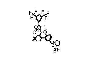 COc1ccc(CN2CCC[C@@H]2C(F)(F)F)cc1C1=C(CN2C(=O)O[C@H](c3cc(C(F)(F)F)cc(C(F)(F)F)c3)[C@@H]2C)CC(C)(C)CC1